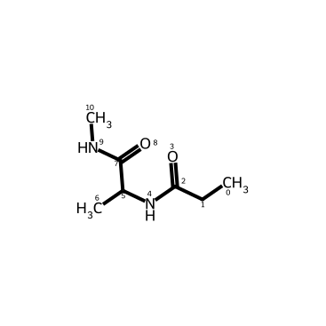 CCC(=O)NC(C)C(=O)NC